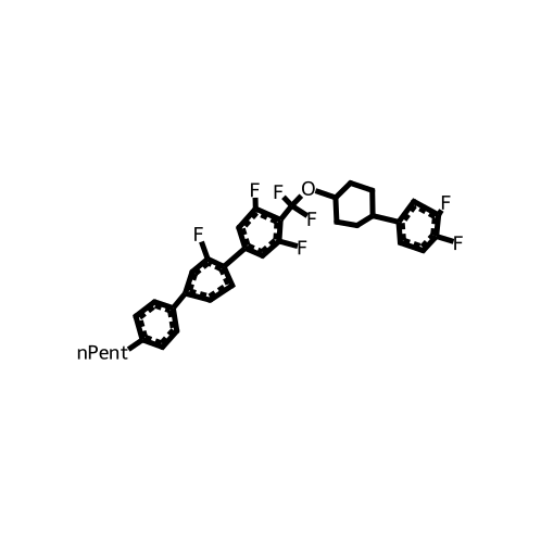 CCCCCc1ccc(-c2ccc(-c3cc(F)c(C(F)(F)OC4CCC(c5ccc(F)c(F)c5)CC4)c(F)c3)c(F)c2)cc1